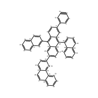 c1ccc(-c2ccc3c(-c4ccc5ccccc5c4)c4cc(-c5ccc6ccc7cccnc7c6n5)ccc4c(-c4cccc5ccccc45)c3c2)cc#1